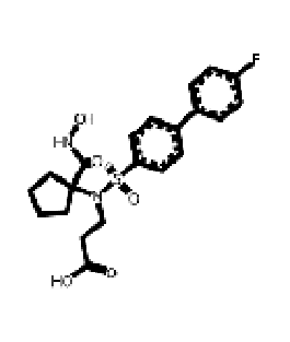 O=C(O)CCN(C1(C(=O)NO)CCCC1)S(=O)(=O)c1ccc(-c2ccc(F)cc2)cc1